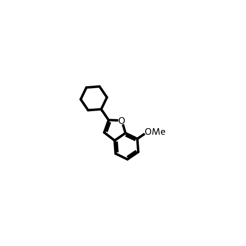 COc1cccc2cc([C]3CCCCC3)oc12